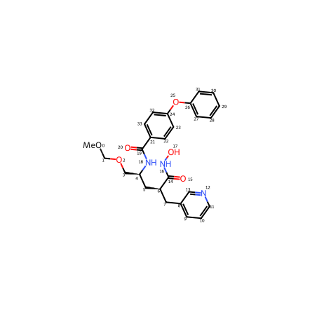 COCOC[C@H](C[C@H](Cc1cccnc1)C(=O)NO)NC(=O)c1ccc(Oc2ccccc2)cc1